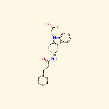 O=C(O)Cn1c2c(c3ccccc31)C[C@H](NC(=O)CCc1ccccc1)CC2